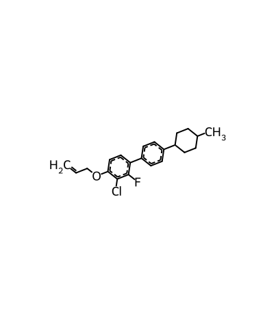 C=CCOc1ccc(-c2ccc(C3CCC(C)CC3)cc2)c(F)c1Cl